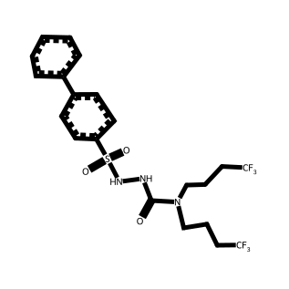 O=C(NNS(=O)(=O)c1ccc(-c2ccccc2)cc1)N(CCCC(F)(F)F)CCCC(F)(F)F